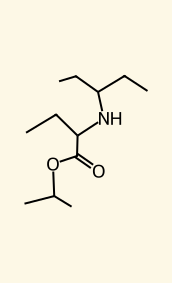 CCC(CC)NC(CC)C(=O)OC(C)C